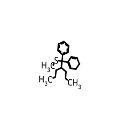 CCCC(CCC)C(SC)(C1=CCCC=C1)c1ccccc1